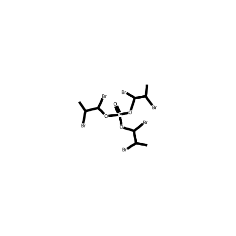 CC(Br)C(Br)OP(=O)(OC(Br)C(C)Br)OC(Br)C(C)Br